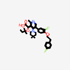 CCC(C)(C)OC(C(=O)O)c1c(C)ncc(-c2ccc(OCCc3ccc(F)cc3)c(F)c2)c1N1CCC(C)(C)CC1